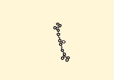 C(=C\c1ccc2c(c1)C1(CCCCC1)c1cc(/C=C/c3ccc(-c4ccc5c(c4)c4ccccc4n5-c4cccc5ccccc45)cc3)ccc1-2)/c1ccc(-c2ccc3c(c2)c2ccccc2n3-c2cccc3ccccc23)cc1